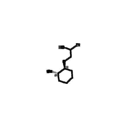 CCC(O)CO[C@H]1CCCC[C@@H]1C(C)(C)C